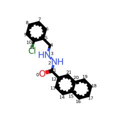 O=C(NNCc1ccccc1Cl)c1ccc2ccccc2c1